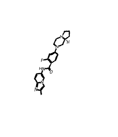 Cc1cn2cc(NC(=O)c3ccc(N4CCN5CCC[C@H]5C4)cc3F)ccc2n1